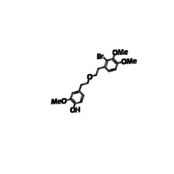 COc1cc(CCOCCc2ccc(OC)c(OC)c2Br)ccc1O